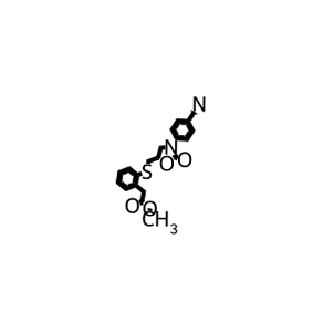 COC(=O)Cc1ccccc1SCC1CN(c2ccc(C#N)cc2)C(=O)O1